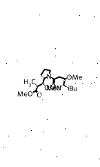 CC[C@H](C)[C@H](NC)[C@@H](CC(=O)N1CCC[C@H]1[C@H](OC)[C@@H](C)C(=O)OC)OC